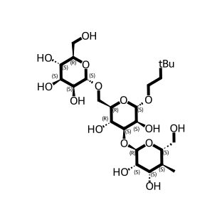 C[C@H]1[C@H](O)[C@H](O)[C@@H](O[C@@H]2[C@H](O)[C@@H](OCCC(C)(C)C)O[C@H](CO[C@H]3O[C@H](CO)[C@@H](O)[C@H](O)[C@@H]3O)[C@H]2O)O[C@@H]1CO